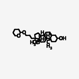 C[C@]12CCC(O)CC1=CC[C@@H]1[C@H]2CC[C@@]2(C)[C@H]1CCC2(O)CCCOC1CCCCO1